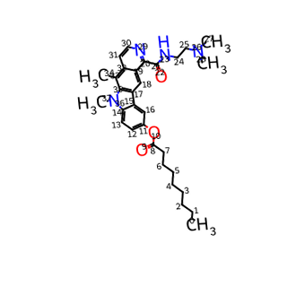 CCCCCCCCC(=O)Oc1ccc2c(c1)c1cc3c(C(=O)NCCN(C)C)nccc3c(C)c1n2C